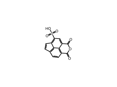 O=C1OC(=O)c2cc(S(=O)(=O)O)c3c4c(ccc1c24)C=C3